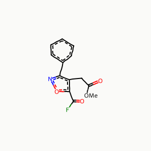 COC(=O)Cc1c(-c2ccccc2)noc1C(=O)F